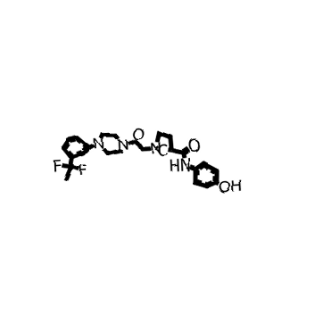 CC(F)(F)c1cccc(N2CCN(C(=O)CN3CCC(C(=O)Nc4ccc(O)cc4)C3)CC2)c1